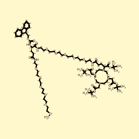 COCCOCCOCCOCCOCCOCCNC(=O)CC[C@@H](NC(=O)OCC1c2ccccc2-c2ccccc21)C(=O)NCCOCCOCCOCCOCCOCCNC(=O)CCC(C(=O)OC(C)(C)C)N1CCN(CC(=O)OC(C)(C)C)CCN(CC(=O)OC(C)(C)C)CCN(CC(=O)OC(C)(C)C)CC1